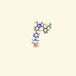 O=c1c2ccc(-c3cnc(N4CCC(O)CC4)nc3)cc2n2n1CCC2c1ccccc1OC(F)F